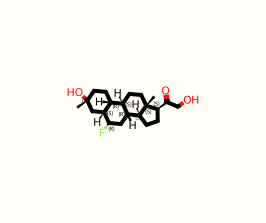 C[C@@]1(O)CC[C@@H]2[C@H]3CC[C@]4(C)[C@@H](C(=O)CO)CC[C@H]4[C@@H]3C[C@@H](F)[C@H]2C1